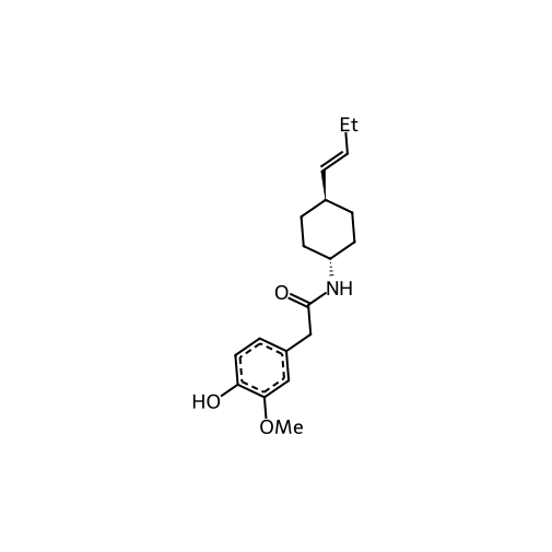 CCC=C[C@H]1CC[C@H](NC(=O)Cc2ccc(O)c(OC)c2)CC1